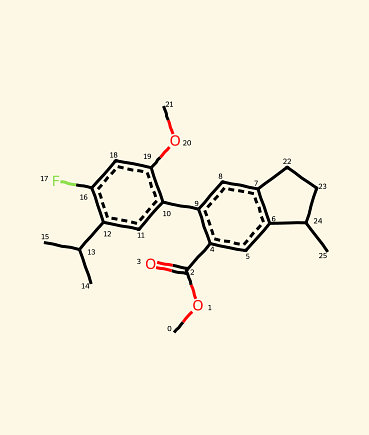 COC(=O)c1cc2c(cc1-c1cc(C(C)C)c(F)cc1OC)CCC2C